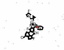 C#Cc1c(F)ccc2c(C=O)ccc(-c3ccc4c(N5CC6CCC(C5)N6CCO)nc(OCC5(CN6CC[C@@H](F)C6)CC5)nc4c3F)c12